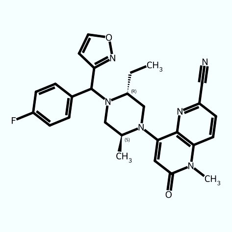 CC[C@@H]1CN(c2cc(=O)n(C)c3ccc(C#N)nc23)[C@@H](C)CN1C(c1ccc(F)cc1)c1ccon1